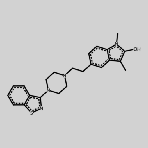 Cc1c(O)n(C)c2ccc(CCN3CCN(c4nsc5ccccc45)CC3)cc12